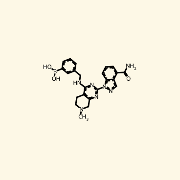 CN1CCc2c(nc(-n3ncc4c(C(N)=O)cccc43)nc2NCc2cccc(B(O)O)c2)C1